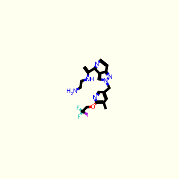 C=C(NCCN)c1nccc2nn(Cc3cnc(OCC(F)(F)I)c(C)c3)cc12